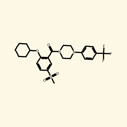 CS(=O)(=O)c1ccc(OC2CCCCC2)c(C(=O)N2CCN(c3ccc(C(F)(F)F)cc3)CC2)c1